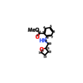 COC(=O)c1ccccc1NCC1CCCO1